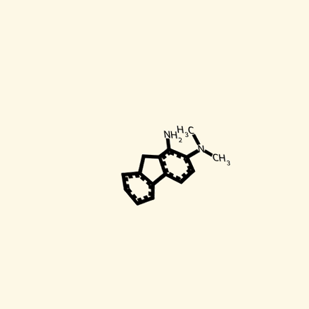 CN(C)c1ccc2c(c1N)Cc1ccccc1-2